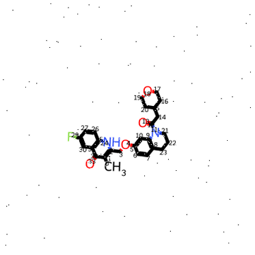 Cc1c(COc2ccc3c(c2)N(C(=O)CC2CCOCC2)CCC3)[nH]c2ccc(F)cc2c1=O